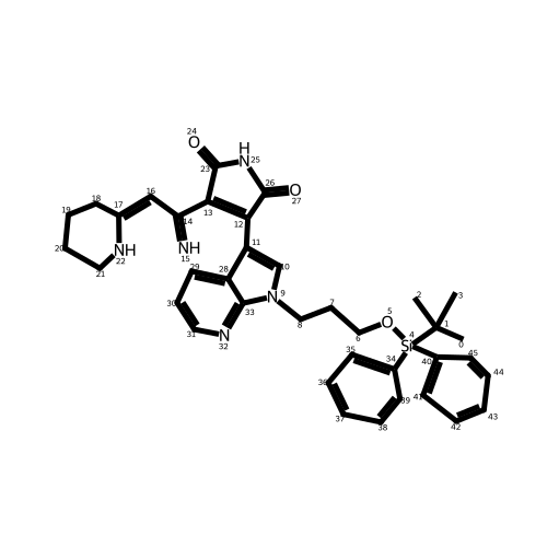 CC(C)(C)[Si](OCCCn1cc(C2=C(C(=N)/C=C3/CCCCN3)C(=O)NC2=O)c2cccnc21)(c1ccccc1)c1ccccc1